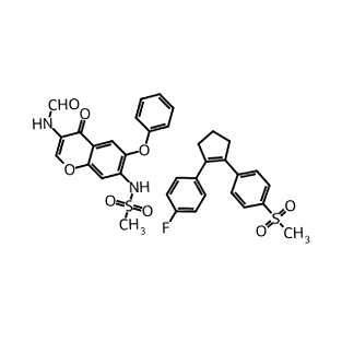 CS(=O)(=O)Nc1cc2occ(NC=O)c(=O)c2cc1Oc1ccccc1.CS(=O)(=O)c1ccc(C2=C(c3ccc(F)cc3)CCC2)cc1